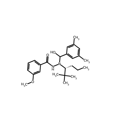 CCC[C@@H](N(NC(=O)c1cccc(OC)c1)C(O)c1cc(C)cc(C)c1)C(C)(C)C